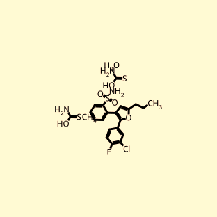 C.CCCc1cc(-c2ccccc2S(N)(=O)=O)c(-c2ccc(F)c(Cl)c2)o1.NC(O)=S.NC(O)=S.O